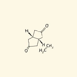 C=C.O=C1C[C@H]2CC(=O)C[C@H]2C1